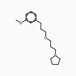 COc1cccc(CCCOCCCN2CCCC2)c1